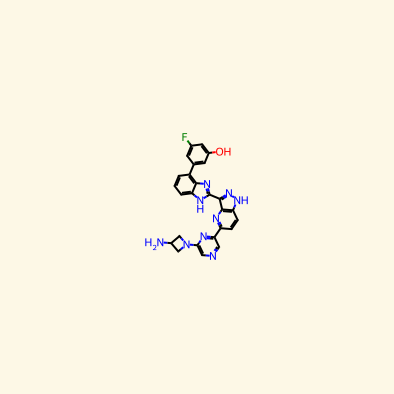 NC1CN(c2cncc(-c3ccc4[nH]nc(-c5nc6c(-c7cc(O)cc(F)c7)cccc6[nH]5)c4n3)n2)C1